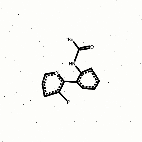 CC(C)(C)C(=O)Nc1ccccc1-c1ncccc1F